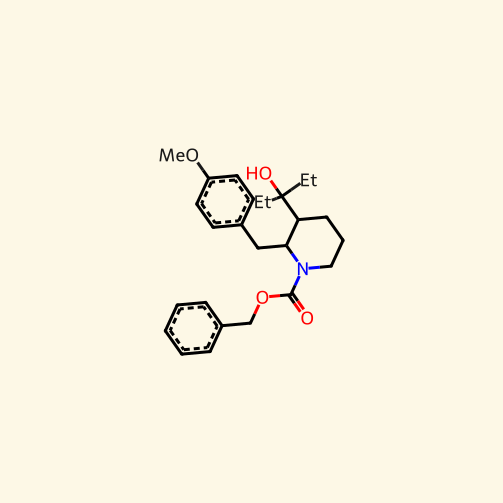 CCC(O)(CC)C1CCCN(C(=O)OCc2ccccc2)C1Cc1ccc(OC)cc1